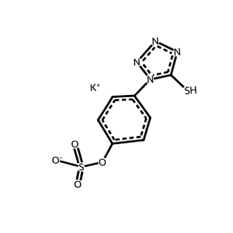 O=S(=O)([O-])Oc1ccc(-n2nnnc2S)cc1.[K+]